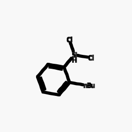 CCCCc1ccccc1[SiH](Cl)Cl